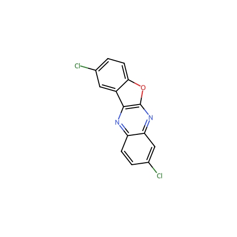 Clc1ccc2nc3c(nc2c1)oc1ccc(Cl)cc13